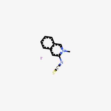 C[n+]1cc2ccccc2cc1N=C=S.[I-]